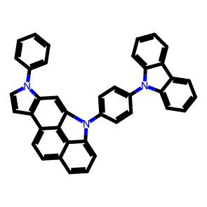 c1ccc(-n2ccc3c4ccc5cccc6c5c4c(cc32)n6-c2ccc(-n3c4ccccc4c4ccccc43)cc2)cc1